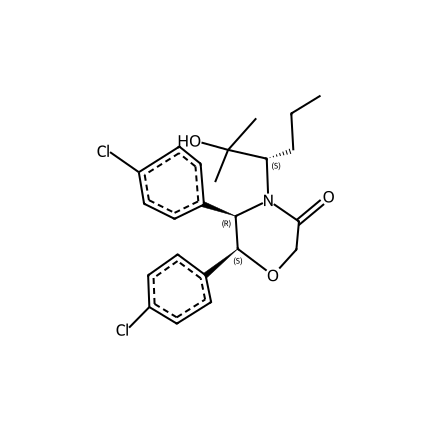 CCC[C@H](N1C(=O)CO[C@@H](c2ccc(Cl)cc2)[C@H]1c1ccc(Cl)cc1)C(C)(C)O